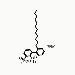 CCCCCCCCCCCCc1ccccc1-c1cccc(S(=O)(=O)[O-])c1S(=O)(=O)[O-].[Na+].[Na+]